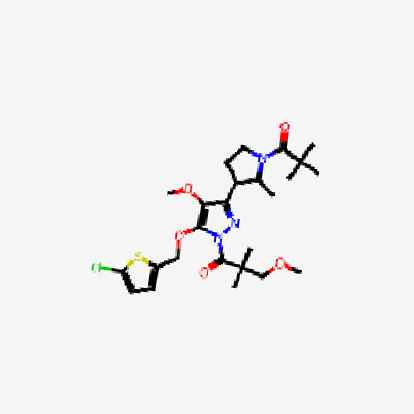 COCC(C)(C)C(=O)n1nc(C2CCN(C(=O)C(C)(C)C)C2C)c(OC)c1OCc1ccc(Cl)s1